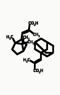 CC(=CC12CC3CC(CC(C3)C1)C2)C(=O)O.CC(=CC1CC2CCC1(C)C2(C)C)C(=O)O